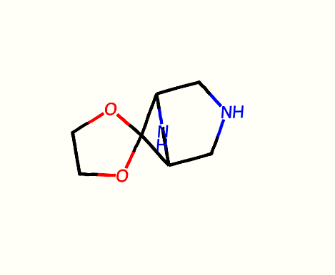 C1COC2(O1)C1CNCC2NC1